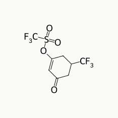 O=C1C=C(OS(=O)(=O)C(F)(F)F)CC(C(F)(F)F)C1